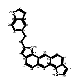 c1cc2cc(CCc3cc4ccc5cc6c(ccc7ccsc76)cc5c4s3)ccc2s1